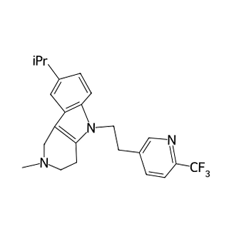 CC(C)c1ccc2c(c1)c1c(n2CCc2ccc(C(F)(F)F)nc2)CCN(C)C1